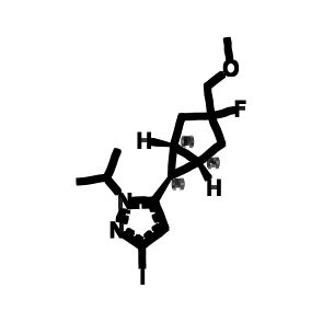 COCC1(F)C[C@@H]2[C@H](C1)[C@H]2c1cc(I)nn1C(C)C